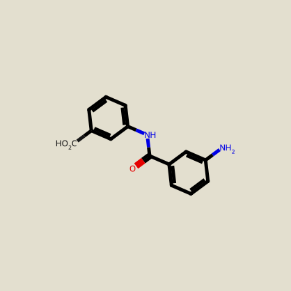 Nc1cccc(C(=O)Nc2cccc(C(=O)O)c2)c1